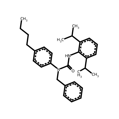 CCCCc1ccc(N(Cc2ccccc2)C(=O)Nc2c(C(C)C)cccc2C(C)C)cc1